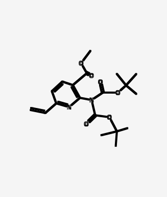 C=Cc1ccc(C(=O)OC)c(N(C(=O)OC(C)(C)C)C(=O)OC(C)(C)C)n1